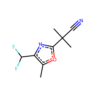 Cc1oc(C(C)(C)C#N)nc1C(F)F